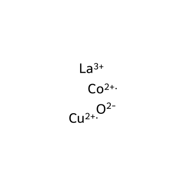 [Co+2].[Cu+2].[La+3].[O-2]